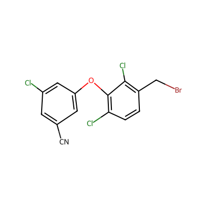 N#Cc1cc(Cl)cc(Oc2c(Cl)ccc(CBr)c2Cl)c1